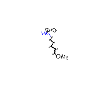 [CH2]OCCCCCCN[C]=O